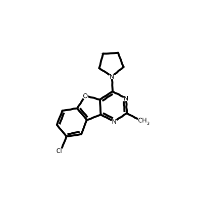 Cc1nc(N2C[CH]CC2)c2oc3ccc(Cl)cc3c2n1